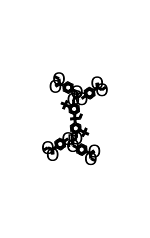 CCC(C)(c1ccc(OP(Oc2ccc(C(=O)OC)cc2)Oc2ccc(C(=O)OC)cc2)c(C(C)(C)C)c1)c1ccc(OP(Oc2ccc(C(=O)OC)cc2)Oc2ccc(C(=O)OC)cc2)c(C(C)(C)C)c1